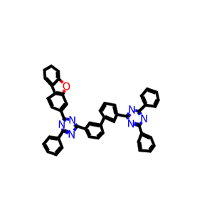 C1=c2oc3cc(-c4nc(-c5ccccc5)nc(-c5cccc(-c6cccc(-c7nc(-c8ccccc8)nc(-c8ccccc8)n7)c6)c5)n4)ccc3c2=CCC1